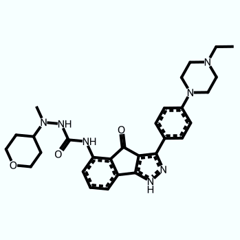 CCN1CCN(c2ccc(-c3n[nH]c4c3C(=O)c3c(NC(=O)NN(C)C5CCOCC5)cccc3-4)cc2)CC1